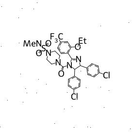 CCOc1cc(C(F)(F)F)ccc1C1=NC(c2ccc(Cl)cc2)C(c2ccc(Cl)cc2)N1C(=O)N1CCN(S(=O)(=O)NC)CC1